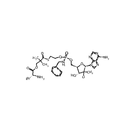 CC(C)[C@@H](N)C(=O)OCC(C)(C)C(=O)SCCO[P@@](=O)(NCc1ccccc1)OC[C@H]1O[C@@H](n2cnc3c(N)ncnc32)[C@](C)(Cl)[C@@H]1O